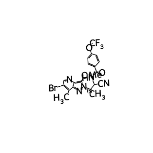 COc1c2ncc(Br)c(C)c2nn1[C@@H](C)C(C#N)NC(=O)c1ccc(OC(F)(F)F)cc1